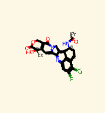 CC[C@@]1(O)C(=O)OCc2c1cc1n(c2=O)Cc2c-1nc1cc(F)c(Cl)c3c1c2[C@@H](NC(=O)C(C)C)CC3